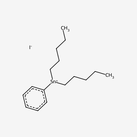 CCCC[CH2][Sn+]([CH2]CCCC)[c]1ccccc1.[I-]